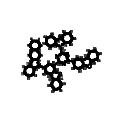 c1ccc2cc3c(cc2c1)c1ccccc1n3-c1cc(-c2nc(-c3ccc4oc5ccccc5c4c3)nc(-n3c4ccccc4c4ccccc43)n2)c2oc3ccccc3c2c1